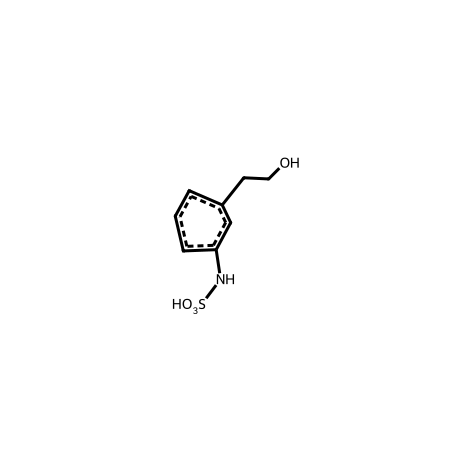 O=S(=O)(O)Nc1cccc(CCO)c1